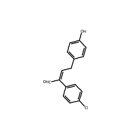 O=C/C(=C/Cc1ccc(O)cc1)c1ccc(Cl)cc1